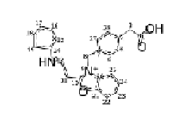 O=C(O)Cc1ccc(C[n+]2c(C=CNc3ccccc3)oc3ccccc32)cc1